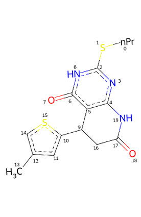 CCCSc1nc2c(c(=O)[nH]1)C(c1cc(C)cs1)CC(=O)N2